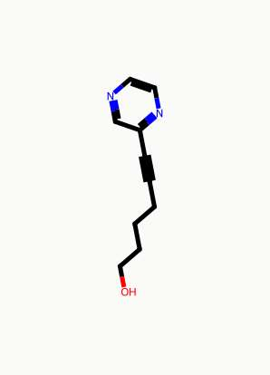 OCCCCC#Cc1cnccn1